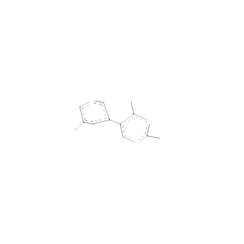 Cc1cncc(-c2cnc(N)nc2C)c1